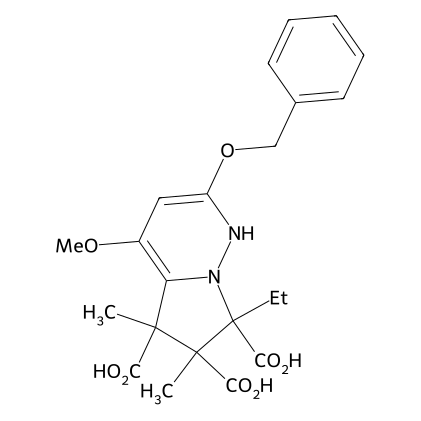 CCC1(C(=O)O)N2NC(OCc3ccccc3)=CC(OC)=C2C(C)(C(=O)O)C1(C)C(=O)O